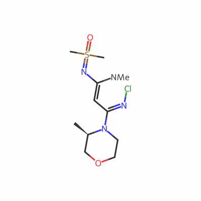 CN/C(=C\C(=N/Cl)N1CCOC[C@H]1C)N=S(C)(C)=O